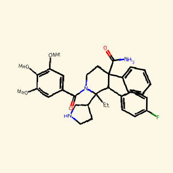 CCC1(C2CCNC2)C(c2ccc(F)cc2)C(C(N)=O)(c2ccccc2)CCN1C(=O)c1cc(OC)c(OC)c(OC)c1